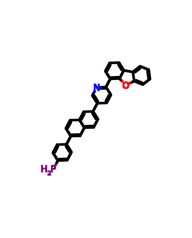 Pc1ccc(-c2ccc3cc(-c4ccc(-c5cccc6c5oc5ccccc56)nc4)ccc3c2)cc1